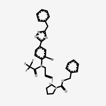 O=C(OCc1ccccc1)N1CCC[C@@H]1C=CCN(C(=O)C(F)(F)F)c1ccc(-c2nc(Cc3ccccc3)no2)cc1Br